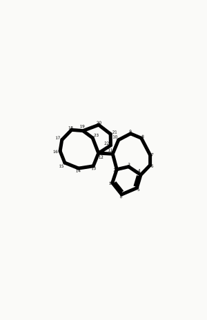 C1=C[C]2CC(=C1)CCCCCC2C12CCCCCCC(CCC1)C2